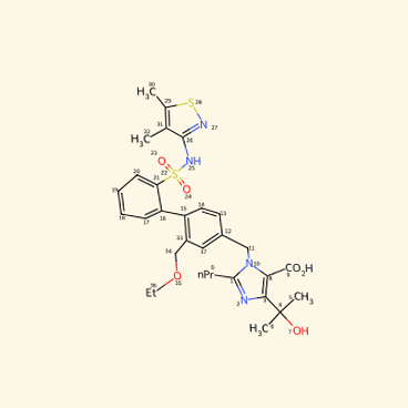 CCCc1nc(C(C)(C)O)c(C(=O)O)n1Cc1ccc(-c2ccccc2S(=O)(=O)Nc2nsc(C)c2C)c(COCC)c1